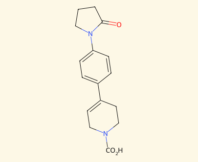 O=C(O)N1CC=C(c2ccc(N3CCCC3=O)cc2)CC1